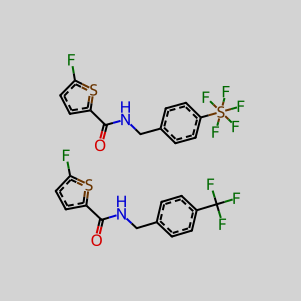 O=C(NCc1ccc(C(F)(F)F)cc1)c1ccc(F)s1.O=C(NCc1ccc(S(F)(F)(F)(F)F)cc1)c1ccc(F)s1